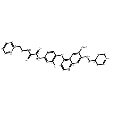 COc1cc2c(Oc3ccc(NC(=O)C(=O)NCCc4ccccn4)cc3F)ccnc2cc1OCC1CC=NCC1